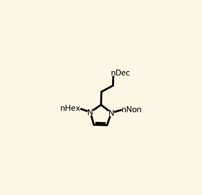 CCCCCCCCCCCCC1N(CCCCCC)C=CN1CCCCCCCCC